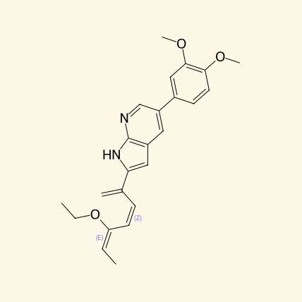 C=C(/C=C\C(=C/C)OCC)c1cc2cc(-c3ccc(OC)c(OC)c3)cnc2[nH]1